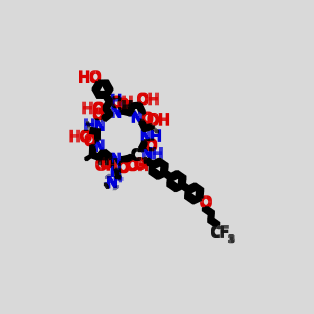 C[C@@H](O)[C@@H]1NC(=O)[C@H]([C@H](O)C(O)c2ccc(O)cc2)NC(=O)[C@@H]2C[C@@H](O)CN2C(=O)[C@H]([C@@H](C)O)NC(=O)[C@@H](NC(=O)c2ccc(-c3ccc(-c4ccc(OCCCCC(F)(F)F)cc4)cc3)cc2)C[C@@H](O)[C@@H](OCC[N+](C)(C)C)NC(=O)[C@@H]2[C@@H](O)[C@@H](C)CN2C1=O